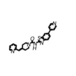 O=C(Nc1nc2ccc(-c3ccncc3)cc2s1)N1CCC(=Cc2ccccn2)CC1